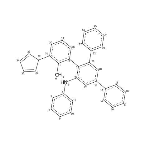 Cc1c(-c2c(Nc3ccccc3)cc(-c3ccccc3)cc2-c2ccccc2)cccc1C1C=CC=C1